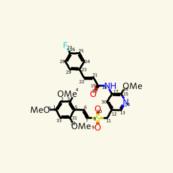 COc1cc(OC)c(C=CS(=O)(=O)Cc2cnc(OC)c(NC(=O)C=Cc3ccc(F)cc3)c2)c(OC)c1